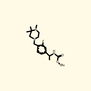 CC(NC(=O)OC(C)(C)C)c1ccc(CN2CCN(C)C(C)(C)C2)c(F)c1